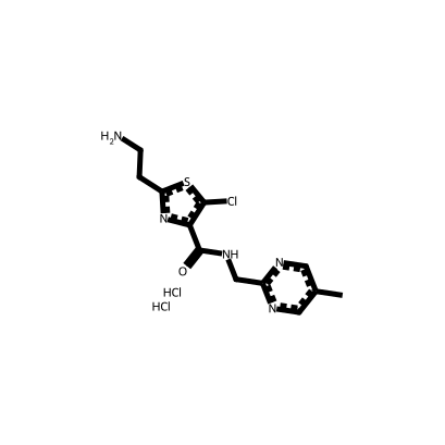 Cc1cnc(CNC(=O)c2nc(CCN)sc2Cl)nc1.Cl.Cl